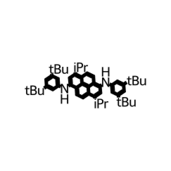 CC(C)c1cc(Nc2cc(C(C)(C)C)cc(C(C)(C)C)c2)c2ccc3c(C(C)C)cc(Nc4cc(C(C)(C)C)cc(C(C)(C)C)c4)c4ccc1c2c43